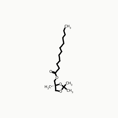 CCCCCCCCCCCC(=O)OC[C@]1(C)COC(C)(C)O1